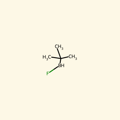 CC(C)(C)BF